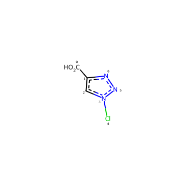 O=C(O)c1cn(Cl)nn1